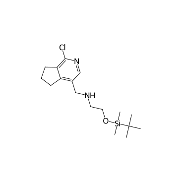 CC(C)(C)[Si](C)(C)OCCNCc1cnc(Cl)c2c1CCC2